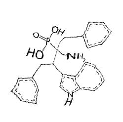 NC(Cc1ccccc1)(C(Cc1ccccc1)c1c[nH]c2ccccc12)P(=O)(O)O